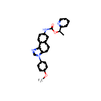 CC(OC(=O)Nc1ccc2c(ccc3c2ncn3-c2ccc(OC(F)(F)F)cc2)c1)c1ccccn1